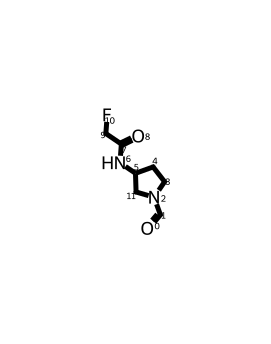 O=CN1CCC(NC(=O)CF)C1